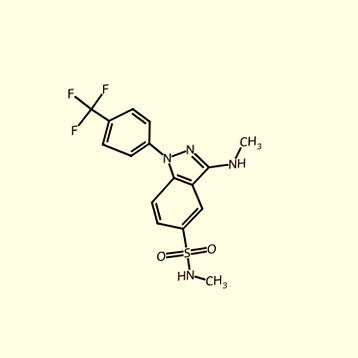 CNc1nn(-c2ccc(C(F)(F)F)cc2)c2ccc(S(=O)(=O)NC)cc12